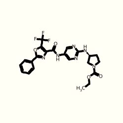 CCOC(=O)N1CC[C@H](Nc2ncc(NC(=O)c3nc(-c4ccccc4)oc3C(F)(F)F)cn2)C1